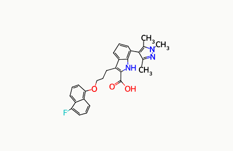 Cc1nn(C)c(C)c1-c1cccc2c(CCCOc3cccc4c(F)cccc34)c(C(=O)O)[nH]c12